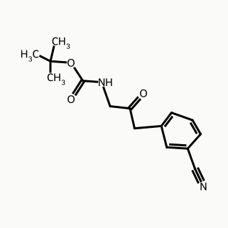 CC(C)(C)OC(=O)NCC(=O)Cc1cccc(C#N)c1